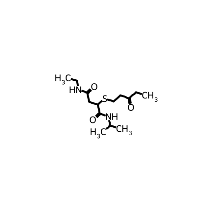 CCNC(=O)CC(SCCC(=O)CC)C(=O)NC(C)C